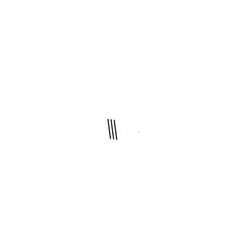 C#C.[K+].[OH-]